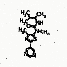 Cc1nc(-c2cncnc2)sc1N(C)C(=O)NC(C)C(C)C